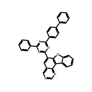 c1ccc(-c2ccc(-c3nc(-c4ccccc4)nc(-c4cc5cncnc5c5c4oc4ccccc45)n3)cc2)cc1